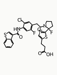 O=C(O)CCc1cnc([C@@]2(F)CCCN2C(=O)Cc2cc(Cl)c(NC(=O)c3csc4ccccc34)cc2F)s1